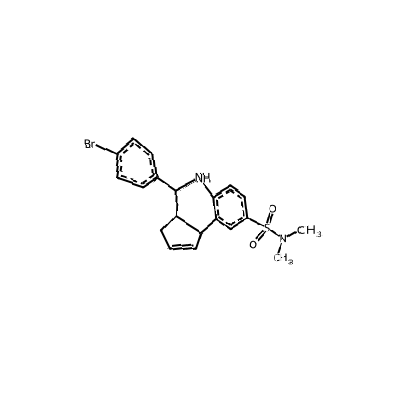 CN(C)S(=O)(=O)c1ccc2c(c1)C1C=CCC1C(c1ccc(Br)cc1)N2